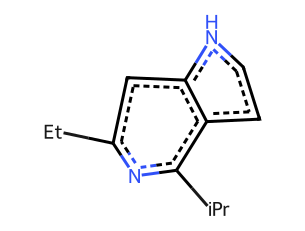 CCc1cc2[nH]ccc2c(C(C)C)n1